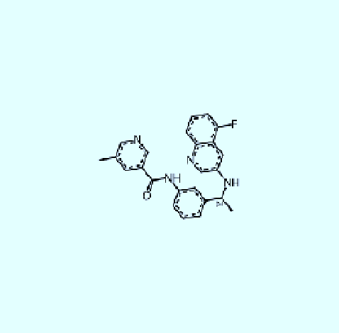 Cc1cncc(C(=O)Nc2cccc([C@H](C)Nc3cnc4cccc(F)c4c3)c2)c1